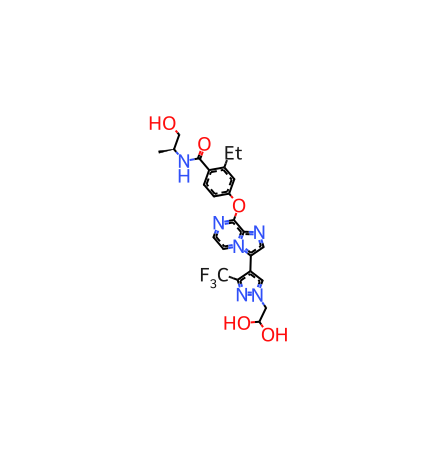 CCc1cc(Oc2nccn3c(-c4cn(CC(O)O)nc4C(F)(F)F)cnc23)ccc1C(=O)N[C@@H](C)CO